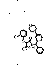 O=C1NN(C(c2ccccc2)c2cccc(N3CCOCC3)c2)C(=O)C1Sc1ccccc1Cl